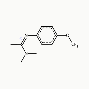 C/C(=N/c1ccc(OC(F)(F)F)cc1)N(C)C